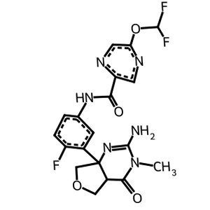 CN1C(=O)C2COCC2(c2cc(NC(=O)c3cnc(OC(F)F)cn3)ccc2F)N=C1N